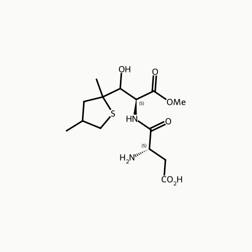 COC(=O)[C@@H](NC(=O)[C@@H](N)CC(=O)O)C(O)C1(C)CC(C)CS1